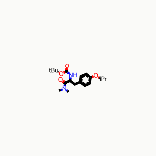 CC(C)Oc1ccc(CC(NC(=O)OC(C)(C)C)C(=O)N(C)C)cc1